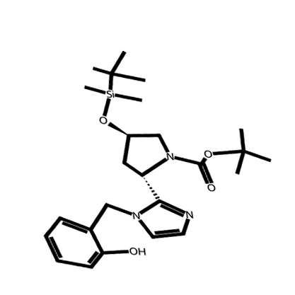 CC(C)(C)OC(=O)N1C[C@H](O[Si](C)(C)C(C)(C)C)C[C@H]1c1nccn1Cc1ccccc1O